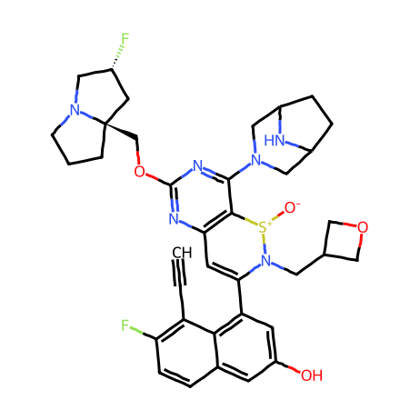 C#Cc1c(F)ccc2cc(O)cc(C3=Cc4nc(OC[C@@]56CCCN5C[C@H](F)C6)nc(N5CC6CCC(C5)N6)c4[S+]([O-])N3CC3COC3)c12